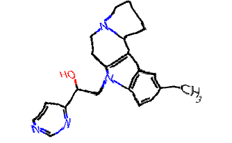 Cc1ccc2c(c1)c1c(n2CC(O)c2ccncn2)CCN2CCCC12